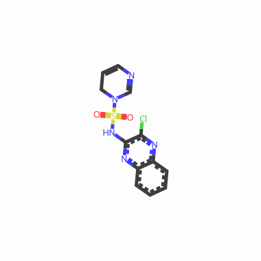 O=S(=O)(Nc1nc2ccccc2nc1Cl)N1C=NC=CC1